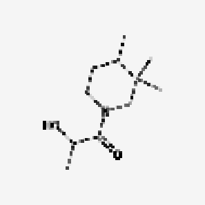 CC(O)C(=O)N1CCC(C)C(C)(C)C1